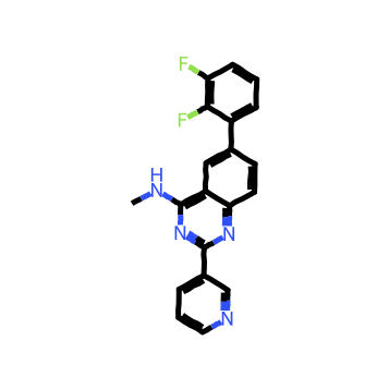 CNc1nc(-c2cccnc2)nc2ccc(-c3cccc(F)c3F)cc12